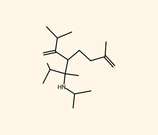 C=C(C)CCC(C(=C)C(C)C)C(C)(NC(C)C)C(C)C